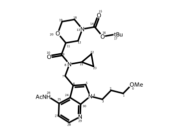 COCCCn1cc(CN(C(=O)C2CN(C(=O)OC(C)(C)C)CCO2)C2CC2)c2c(NC(C)=O)ccnc21